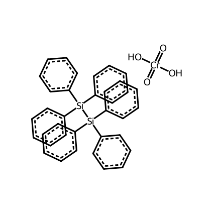 [O]=[Cr](=[O])([OH])[OH].c1ccc([Si](c2ccccc2)(c2ccccc2)[Si](c2ccccc2)(c2ccccc2)c2ccccc2)cc1